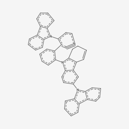 c1ccc(-n2c3ccccc3c3ccccc32)c(-c2ccccc2-n2c3c(c4cc(-n5c6ccccc6c6ccccc65)ccc42)C=CCC3)c#1